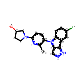 Cc1nc(N2CC[C@@H](O)C2)ccc1-n1c2ccc(F)cc2c2[nH]ncc21